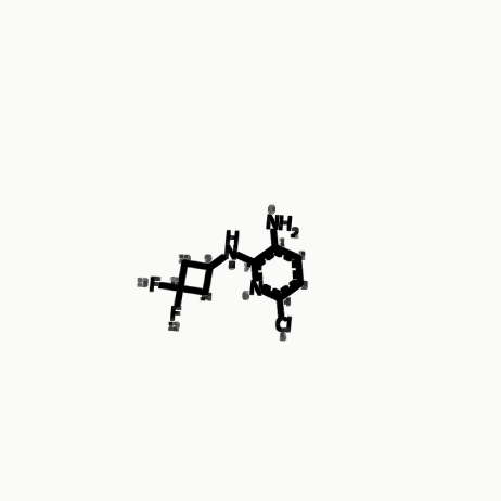 Nc1ccc(Cl)nc1NC1CC(F)(F)C1